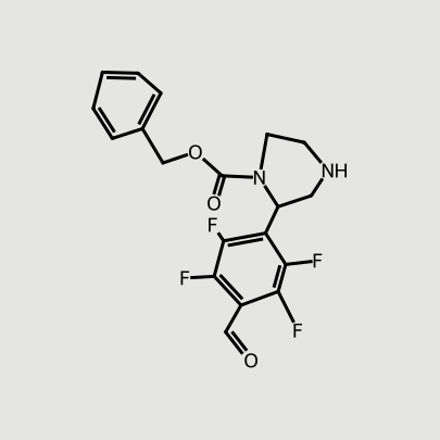 O=Cc1c(F)c(F)c(C2CNCCN2C(=O)OCc2ccccc2)c(F)c1F